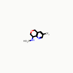 O=C(O)NC1COCc2cc(C(F)(F)F)cnc21